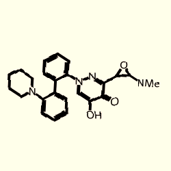 CNC1OC1c1nn(-c2ccccc2-c2ccccc2N2CCCCC2)cc(O)c1=O